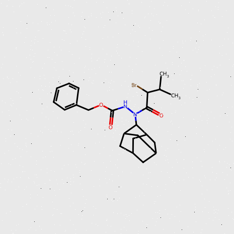 CC(C)C(Br)C(=O)N(NC(=O)OCc1ccccc1)C1C2CC3CC(C2)CC1C3